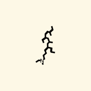 C\C=C(C)/C=C\C(=C\C)CC(C)CC(=C/CCCN(C)CC)/C=C/C